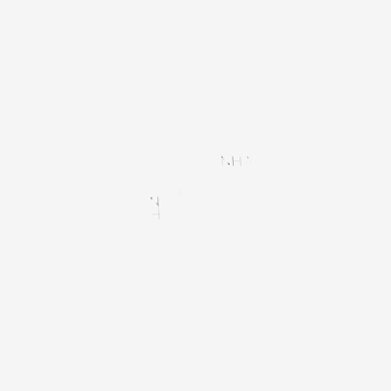 CC(=O)NCC1CCNC1=O